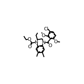 CCOC(=O)N1c2cc(C)c(C)cc2N(C(=O)c2c(OC)ccc(Cl)c2OC)CC1CC